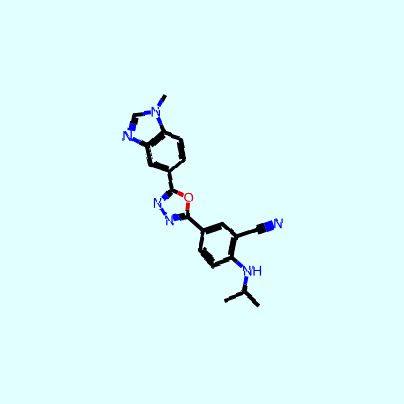 CC(C)Nc1ccc(-c2nnc(-c3ccc4c(c3)ncn4C)o2)cc1C#N